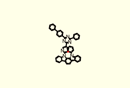 C1=CC2c3ccc4c5ccccc5n(-c5ccccc5)c4c3N(c3ccc(-c4nc(-c5ccccc5)nc(-c5ccc(-c6ccccc6)cc5)n4)cn3)C2C=C1